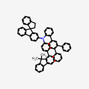 CC1(C)c2ccccc2-c2cccc(-c3ccc(N(c4ccc5c(c4)C4(CCc6ccccc64)c4ccccc4-5)c4ccccc4-c4ccc(-c5ccccc5)c(-c5ccccc5)c4)cc3)c21